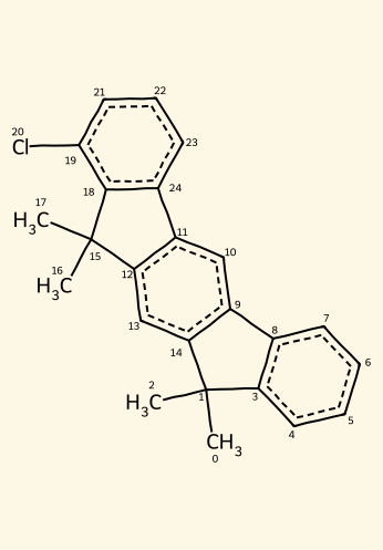 CC1(C)c2ccccc2-c2cc3c(cc21)C(C)(C)c1c(Cl)cccc1-3